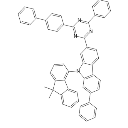 CC1(C)c2ccccc2-c2c(-n3c4cc(-c5ccccc5)ccc4c4ccc(-c5nc(-c6ccccc6)nc(-c6ccc(-c7ccccc7)cc6)n5)cc43)cccc21